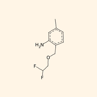 Cc1ccc(COCC(F)F)c(N)c1